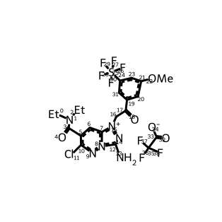 CCN(CC)C(=O)c1cc2n(nc1Cl)c(N)n[n+]2CC(=O)c1cc(OC)cc(S(F)(F)(F)(F)F)c1.O=C([O-])C(F)(F)F